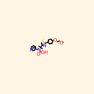 COCCOc1ccc(-c2nc(C(C)(C)N(C(=O)O)C3CCN4CCC3CC4)cs2)cc1